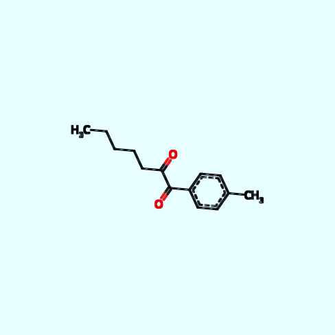 CCCCCC(=O)C(=O)c1ccc(C)cc1